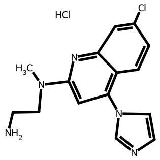 CN(CCN)c1cc(-n2ccnc2)c2ccc(Cl)cc2n1.Cl